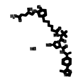 Cc1ncsc1-c1ccc([C@H](C)NC(=O)[C@@H]2C[C@@H](O)CN2C(=O)[C@@H](NC(=O)CCCCCc2ccc(Cl)c(OC[C@@H](N)CCC(N)=O)c2)C(C)(C)C)cc1.Cl